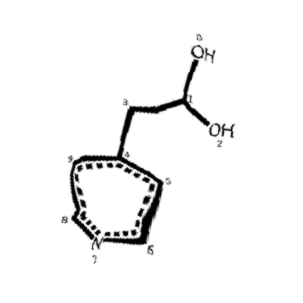 OC(O)Cc1ccncc1